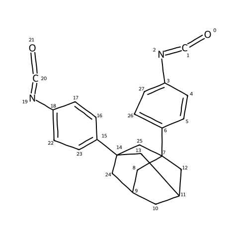 O=C=Nc1ccc(C23CC4CC(C2)CC(c2ccc(N=C=O)cc2)(C4)C3)cc1